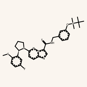 CSc1ccc(F)cc1[C@H]1CCCN1c1ccc2ncc(C(=S)NCc3cccc(O[Si](C)(C)C(C)(C)C)c3)n2n1